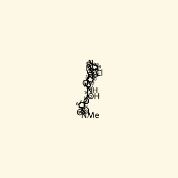 CNS(=O)(=O)c1cccc(OCC(O)CNC2COC3(CCN(S(=O)(=O)c4c(Cl)ccc5nsnc45)CC3)C2)c1